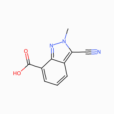 Cn1nc2c(C(=O)O)cccc2c1C#N